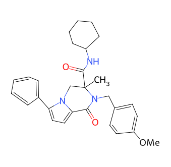 COc1ccc(CN2C(=O)c3ccc(-c4ccccc4)n3CC2(C)C(=O)NC2CCCCC2)cc1